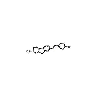 O=[N+]([O-])c1ccc2c(c1)Cc1cc(/N=C/c3ccc(Br)cc3)ccc1-2